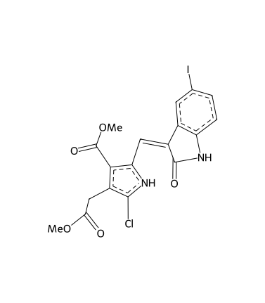 COC(=O)Cc1c(Cl)[nH]c(C=C2C(=O)Nc3ccc(I)cc32)c1C(=O)OC